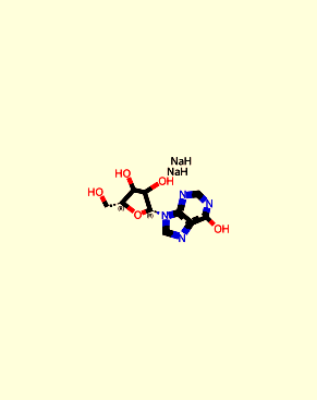 OC[C@H]1O[C@@H](n2cnc3c(O)ncnc32)C(O)C1O.[NaH].[NaH]